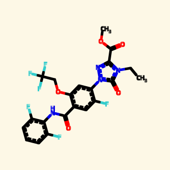 CCn1c(C(=O)OC)nn(-c2cc(OCC(F)(F)F)c(C(=O)Nc3c(F)cccc3F)cc2F)c1=O